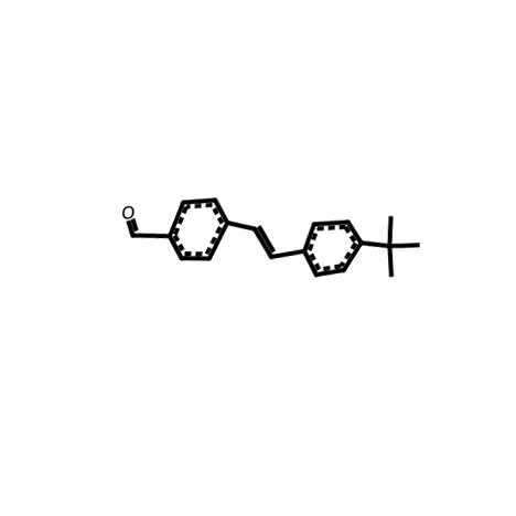 CC(C)(C)c1ccc(C=Cc2ccc(C=O)cc2)cc1